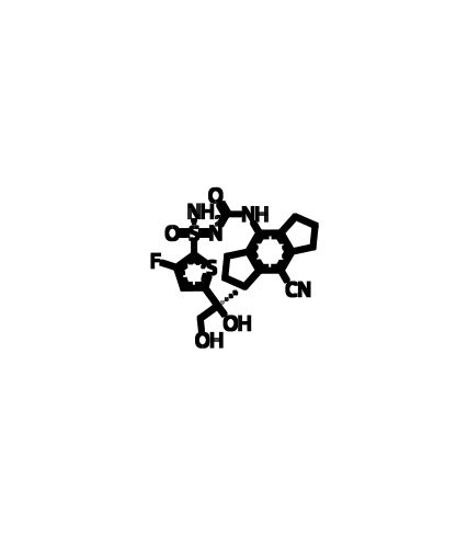 C[C@](O)(CO)c1cc(F)c([S@](N)(=O)=NC(=O)Nc2c3c(c(C#N)c4c2CCC4)CCC3)s1